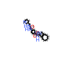 O=C(NCc1cccnc1)Nc1ccc(S(=O)(=O)NC2CC3(CCCCCCCC3)CCN2)cc1